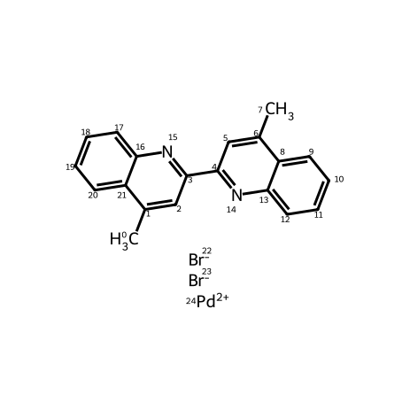 Cc1cc(-c2cc(C)c3ccccc3n2)nc2ccccc12.[Br-].[Br-].[Pd+2]